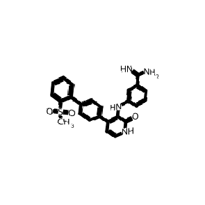 CS(=O)(=O)c1ccccc1-c1ccc(-c2cc[nH]c(=O)c2Nc2cccc(C(=N)N)c2)cc1